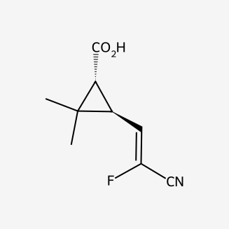 CC1(C)[C@H](C=C(F)C#N)[C@H]1C(=O)O